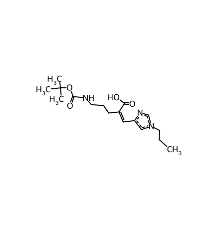 CCCn1cnc(C=C(CCCNC(=O)OC(C)(C)C)C(=O)O)c1